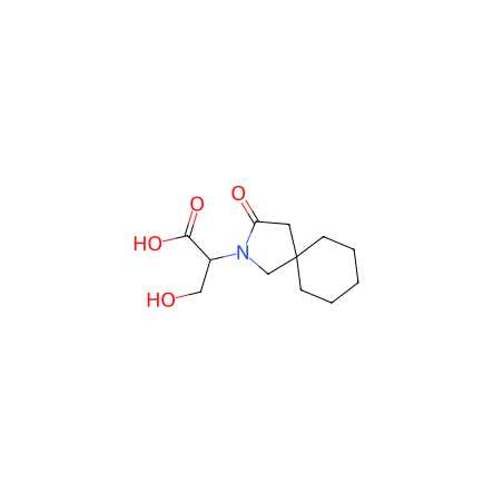 O=C(O)C(CO)N1CC2(CCCCC2)CC1=O